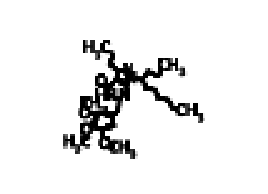 CCCCCCC(CCC)n1nc(CCC)c2c(=O)[nH]c(Cc3cc(OC)c(OC)c(OC)c3)nc21